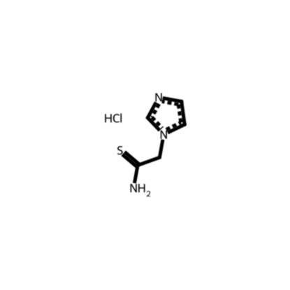 Cl.NC(=S)Cn1ccnc1